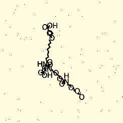 O=[C]COCCOCCNC(=O)COCCOCCNC(=O)[C@H](CCC(=O)O)NC(=O)CCCCCCCCCOc1ccc(C(=O)O)cc1